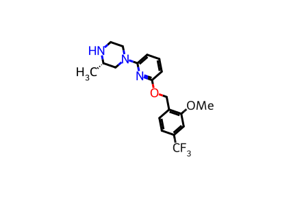 COc1cc(C(F)(F)F)ccc1COc1cccc(N2CCN[C@@H](C)C2)n1